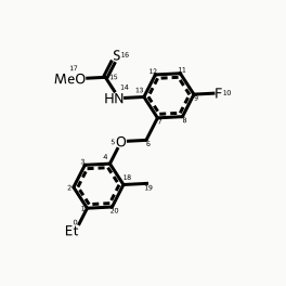 CCc1ccc(OCc2cc(F)ccc2NC(=S)OC)c(C)c1